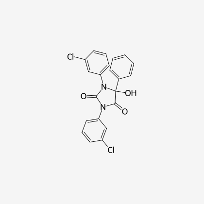 O=C1N(c2cccc(Cl)c2)C(=O)C(O)(c2ccccc2)N1c1cccc(Cl)c1